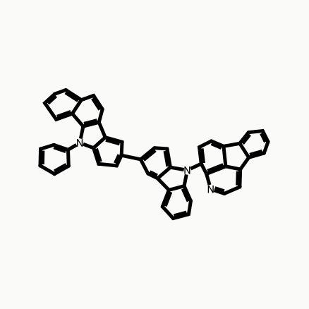 c1ccc(-n2c3ccc(-c4ccc5c(c4)c4ccccc4n5-c4ccc5c6c(ccnc46)-c4ccccc4-5)cc3c3ccc4ccccc4c32)cc1